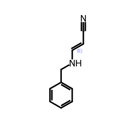 N#C/C=C/NCc1ccccc1